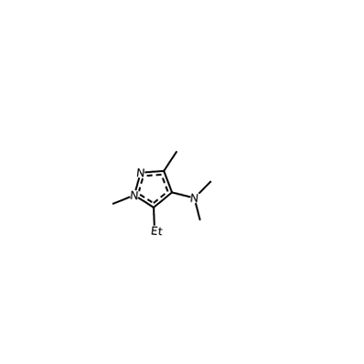 CCc1c(N(C)C)c(C)nn1C